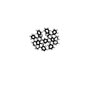 c1ccc(N2c3cc4c(cc3B3c5oc6ccccc6c5N(c5ccccc5)c5c6c7c(c2c53)CCCN7CCC6)B2c3oc5ccccc5c3N(c3ccccc3)c3c5c6c(c(c32)N4c2ccccc2)CCCN6CCC5)cc1